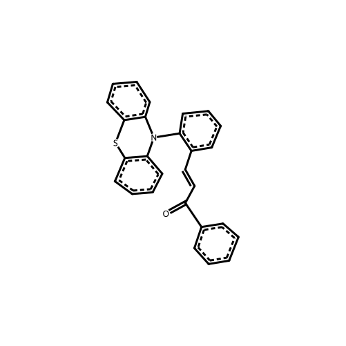 O=C(C=Cc1ccccc1N1c2ccccc2Sc2ccccc21)c1ccccc1